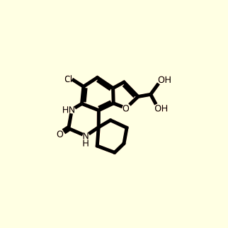 O=C1Nc2c(Cl)cc3cc(C(O)O)oc3c2C2(CCCCC2)N1